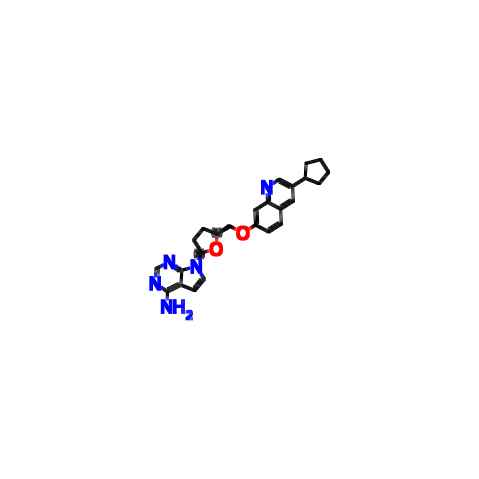 Nc1ncnc2c1ccn2[C@H]1CC[C@@H](COc2ccc3cc(C4CCCC4)cnc3c2)O1